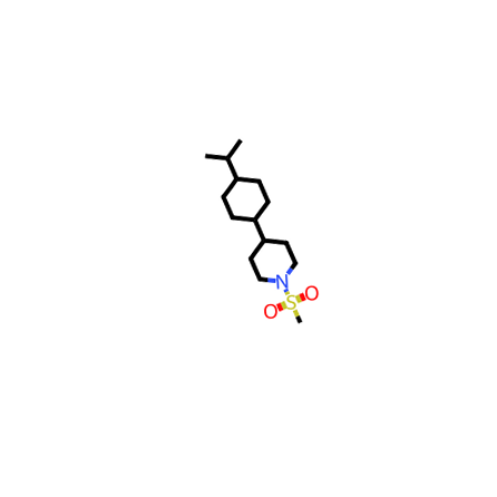 CC(C)C1CCC(C2CCN(S(C)(=O)=O)CC2)CC1